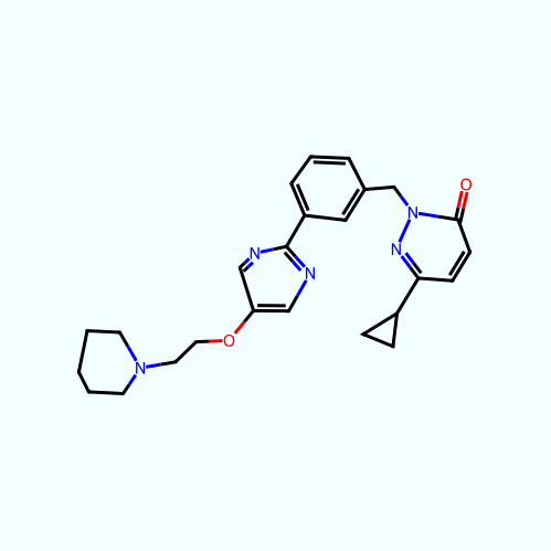 O=c1ccc(C2CC2)nn1Cc1cccc(-c2ncc(OCCN3CCCCC3)cn2)c1